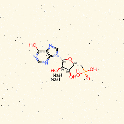 O=P(O)(O)C[C@H]1O[C@@H](n2cnc3c(O)ncnc32)[C@H](O)[C@@H]1O.[NaH].[NaH]